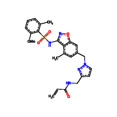 C=CC(=O)NCc1ccn(Cc2cc(C)c3c(NS(=O)(=O)c4c(C)cccc4OC)noc3c2)n1